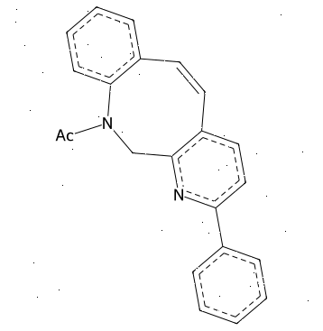 CC(=O)N1Cc2nc(-c3ccccc3)ccc2/C=C\c2ccccc21